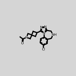 CC(=O)N1CC2(CC(c3nnc4n3-c3ccc(Cl)cc3CNC4)C2)C1